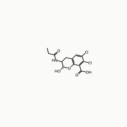 CCC(=O)NC1Cc2cc(Cl)c(Cl)c(C(=O)O)c2OB1O